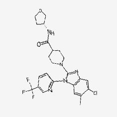 Cc1cc2c(cc1Cl)nc(N1CCC(C(=O)N[C@@H]3CCOC3)CC1)n2-c1ccc(C(F)(F)F)cn1